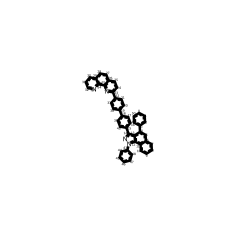 c1ccc(-c2cc3ccccc3c3c2c(-c2ccc(-c4ccc(-c5ccc6ccc7cccnc7c6n5)cc4)cc2)nn3-c2ccccc2)cc1